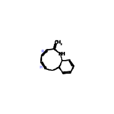 C=C1/C=C\C=C/CC2C=CC=CC2N1